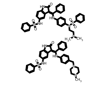 CN(C)CCN(c1ccc(NC(=C2C(=O)Nc3ccc(NS(=O)(=O)c4ccccc4)cc32)c2ccccc2)cc1)S(=O)(=O)c1ccccc1.CN1CCN(Cc2ccc(NC(=C3C(=O)Nc4ccc(NS(=O)(=O)c5ccccc5)cc43)c3ccccc3)cc2)CC1